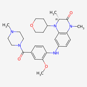 COc1cc(C(=O)N2CCN(C)CC2)ccc1Nc1ccc2c(c1)N(C1CCOCC1)[C@H](C)C(=O)N2C